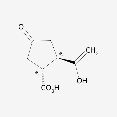 C=C(O)[C@@H]1CC(=O)C[C@H]1C(=O)O